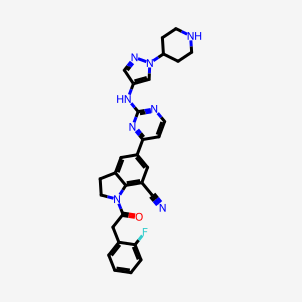 N#Cc1cc(-c2ccnc(Nc3cnn(C4CCNCC4)c3)n2)cc2c1N(C(=O)Cc1ccccc1F)CC2